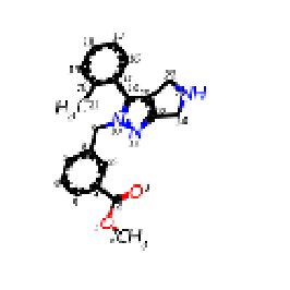 COC(=O)c1cccc(Cn2nc3c(c2-c2ccccc2C)CNC3)c1